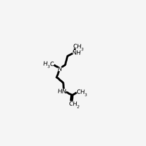 C=C(C)NCCN(C)CCNC